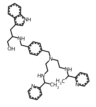 CC(NCCN(CCNC(C)c1ccccn1)Cc1ccc(CNC(CO)Cc2c[nH]c3ccccc23)cc1)c1ccccn1